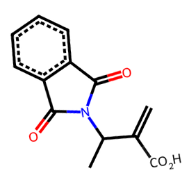 C=C(C(=O)O)C(C)N1C(=O)c2ccccc2C1=O